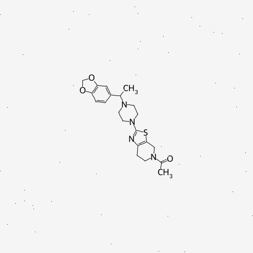 CC(=O)N1CCc2nc(N3CCN(C(C)c4ccc5c(c4)OCO5)CC3)sc2C1